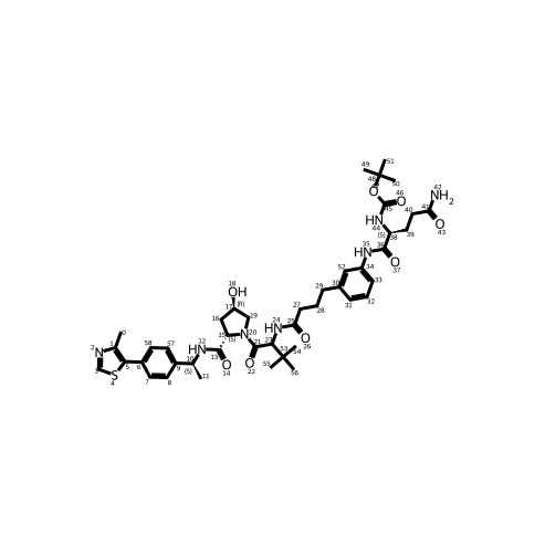 Cc1ncsc1-c1ccc([C@H](C)NC(=O)[C@@H]2C[C@@H](O)CN2C(=O)C(NC(=O)CCCc2cccc(NC(=O)[C@H](CCC(N)=O)NC(=O)OC(C)(C)C)c2)C(C)(C)C)cc1